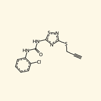 C#CCSc1nsc(NC(=O)Nc2ccccc2Cl)n1